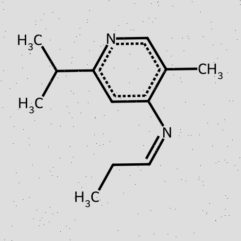 CC/C=N\c1cc(C(C)C)ncc1C